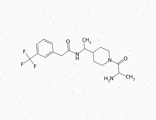 CC(N)C(=O)N1CCC(C(C)NC(=O)Cc2cccc(C(F)(F)F)c2)CC1